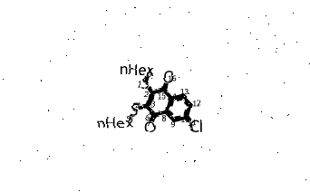 CCCCCCSC1=C(SCCCCCC)C(=O)c2cc(Cl)ccc2C1=O